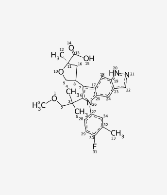 COCC(C)(C)c1c(C2CO[C@@](C)(C(=O)O)C2)c2cc3[nH]ncc3cc2n1-c1ccc(F)c(C)c1